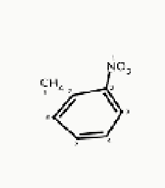 C.O=[N+]([O-])c1ccccc1